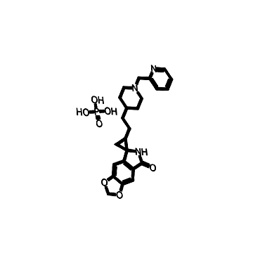 O=C1NC2(CC2CCC2CCN(Cc3ccccn3)CC2)c2cc3c(cc21)OCO3.O=P(O)(O)O